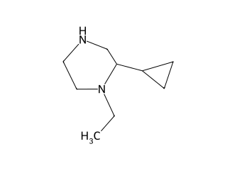 CCN1CCNCC1C1CC1